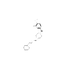 CNc1ccc(C(=O)N2CCN(C(=O)OCCC3CCCCC3)CC2)cc1C